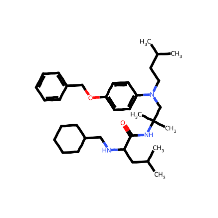 CC(C)CCN(CC(C)(C)NC(=O)C(CC(C)C)NCC1CCCCC1)c1ccc(OCc2ccccc2)cc1